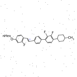 CCCCCCOc1ccc(/C=C/c2ccc(-c3ccc(C4CCC(C)CC4)c(F)c3F)cc2)c(F)c1